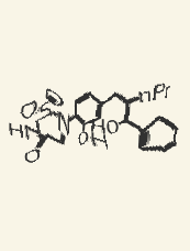 CCCC(Cc1ccc(N2CC(=O)NS2(=O)=O)c(O)c1)C(O)c1ccccc1